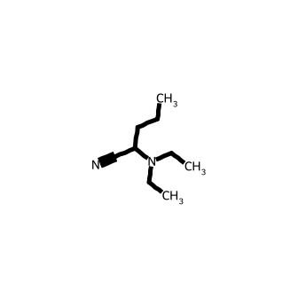 CCCC(C#N)N(CC)CC